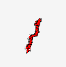 C=Cc1ccc(COc2ccc(OCc3ccc(-c4ccc(C(C)Oc5c(C)cc(Oc6c(C)cc(C(C)(C)c7cc(C)c(Oc8cc(C)c(OCc9ccc(-c%10ccc(COc%11ccc(OCc%12ccc(C=C)cc%12)c(P(=O)(c%12ccccc%12)c%12ccccc%12)c%11)cc%10)cc9)c(C)c8)c(C)c7)cc6C)cc5C)cc4)cc3)c(P(=O)(c3ccccc3)c3ccccc3)c2)cc1